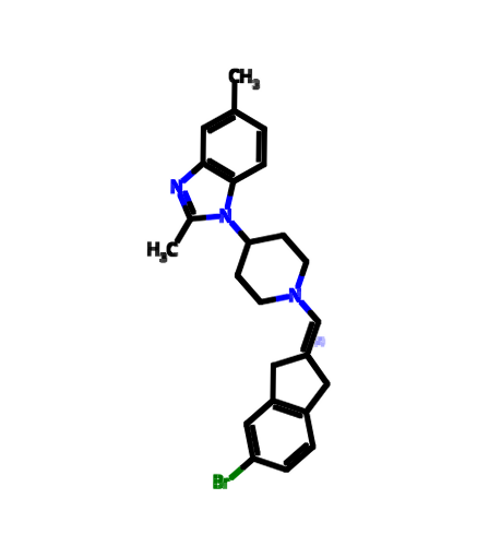 Cc1ccc2c(c1)nc(C)n2C1CCN(/C=C2/Cc3ccc(Br)cc3C2)CC1